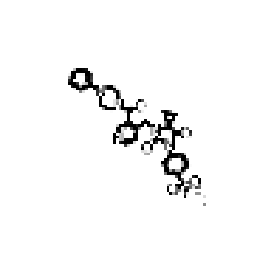 O=C(c1cnccc1CN1C(=O)N(c2ccc(S(=O)(=O)C(F)(F)F)cc2)C(=O)C12CC2)N1CCN(c2ccccc2)CC1